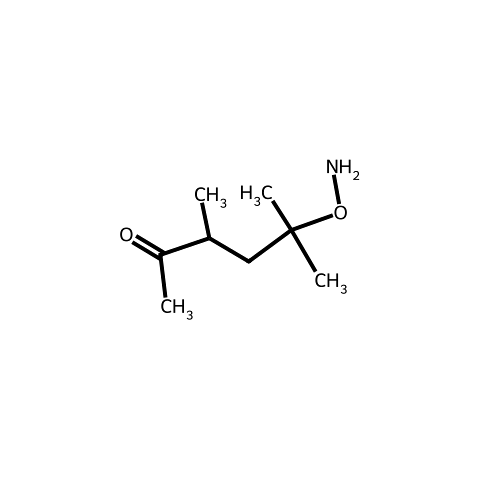 CC(=O)C(C)CC(C)(C)ON